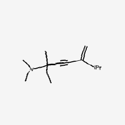 C=C(C#CC(C)(C)N(C)C)C(C)C